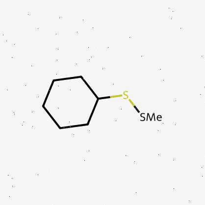 CSSC1CCCCC1